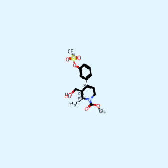 C[C@@H]1[C@@H](CO)[C@H](c2cccc(OS(=O)(=O)C(F)(F)F)c2)CCN1C(=O)OC(C)(C)C